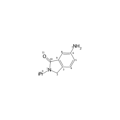 CC(C)N1Cc2ccc(N)cc2C1=O